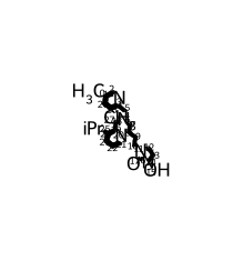 Cc1cnc(CN(CCCCN2CCN(O)C2=O)Cc2ncccc2C(C)C)c(C)c1